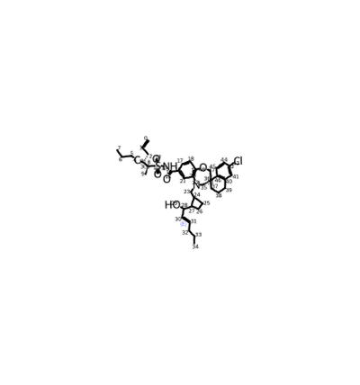 C=CC[C@@H](CCCC)[C@H](C)S(=O)(=O)NC(=O)c1ccc2c(c1)N(CC1CCC1C(O)/C=C/CCC)C[C@@]1(CCCc3cc(Cl)ccc31)CO2